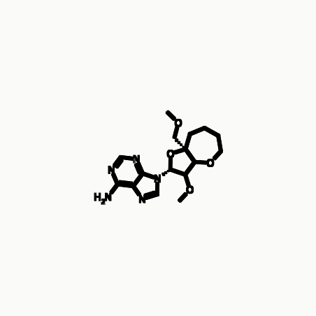 COC[C@]12CCCCOC1C(OC)[C@H](n1cnc3c(N)ncnc31)O2